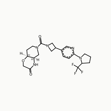 O=C1CO[C@H]2CCN(C(=O)N3CC(c4ccc(N5CCCC5C(F)(F)F)nc4)C3)C[C@H]2N1